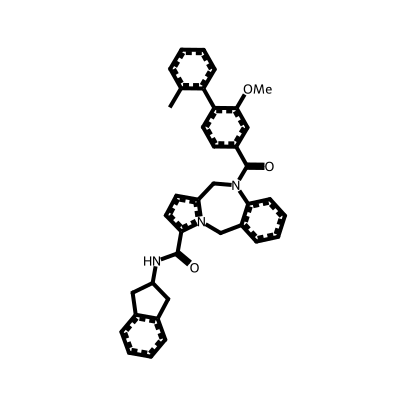 COc1cc(C(=O)N2Cc3ccc(C(=O)NC4Cc5ccccc5C4)n3Cc3ccccc32)ccc1-c1ccccc1C